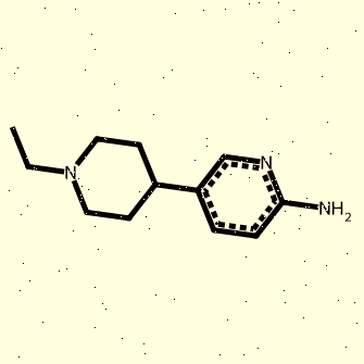 CCN1CCC(c2ccc(N)nc2)CC1